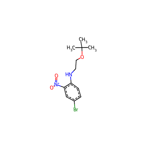 CC(C)(C)OCCNc1ccc(Br)cc1[N+](=O)[O-]